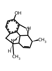 C[C@H]1C=CC2[C@H]3Cc4ccc(O)c5c4[C@@]2(CCN3C)[C@H]1O5